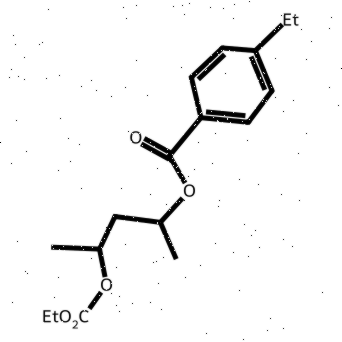 CCOC(=O)OC(C)CC(C)OC(=O)c1ccc(CC)cc1